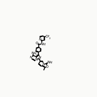 Cc1oc(=N)n2cc(-c3nc(-c4ccc(C(=O)Nc5cc(C(F)(F)F)ccn5)cc4)c4c(N)nccn34)ccc12